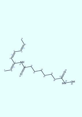 C\C=C/C=C\C(=C/C)NC(=O)CCCCCCC(=O)NO